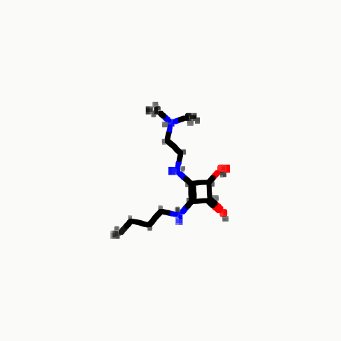 CC(C)CCCNC1=C(NCCN(C)C)C(O)C1=O